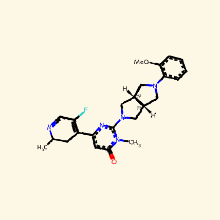 COc1ccccc1N1C[C@@H]2CN(c3nc(C4=C(F)C=NC(C)C4)cc(=O)n3C)C[C@@H]2C1